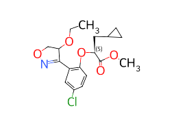 CCOC1CON=C1c1cc(Cl)ccc1O[C@@H](CC1CC1)C(=O)OC